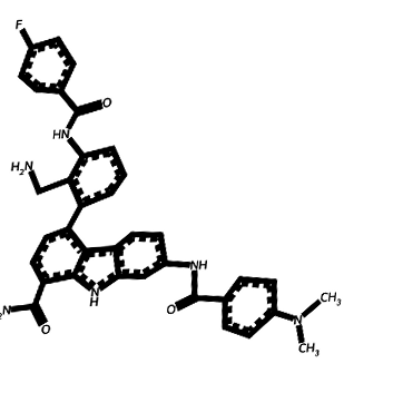 CN(C)c1ccc(C(=O)Nc2ccc3c(c2)[nH]c2c(C(N)=O)ccc(-c4cccc(NC(=O)c5ccc(F)cc5)c4CN)c23)cc1